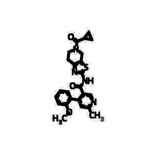 COc1ccccc1-c1cc(C)ncc1C(=O)Nc1nc2c(s1)CN(C(=O)C1CC1)CC2